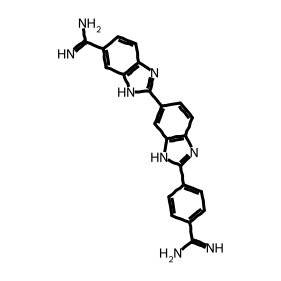 N=C(N)c1ccc(-c2nc3ccc(-c4nc5ccc(C(=N)N)cc5[nH]4)cc3[nH]2)cc1